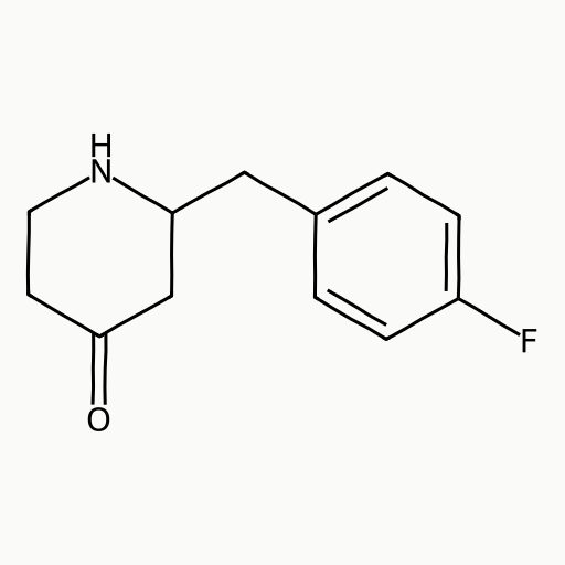 O=C1CCNC(Cc2ccc(F)cc2)C1